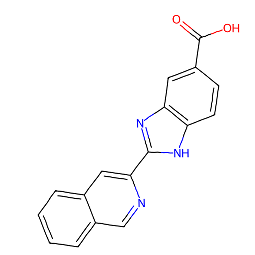 O=C(O)c1ccc2[nH]c(-c3cc4ccccc4cn3)nc2c1